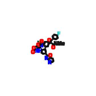 CNC(=O)c1c(-c2ccc(F)cc2)oc2cc(N(CC3COC(=O)N3)S(C)(=O)=O)c(-c3cccc(-c4nc5ncccc5o4)c3)cc12